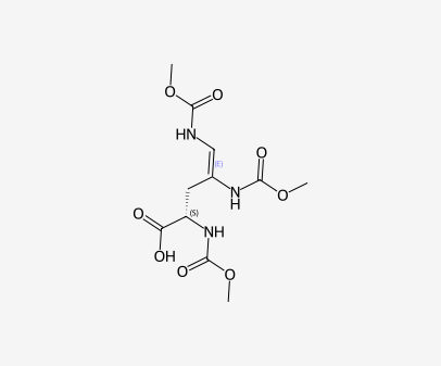 COC(=O)N/C=C(\C[C@H](NC(=O)OC)C(=O)O)NC(=O)OC